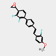 COc1ccc(/C=C/c2ccc(-c3ccc(C4CO4)c(F)c3F)cc2)c(F)c1